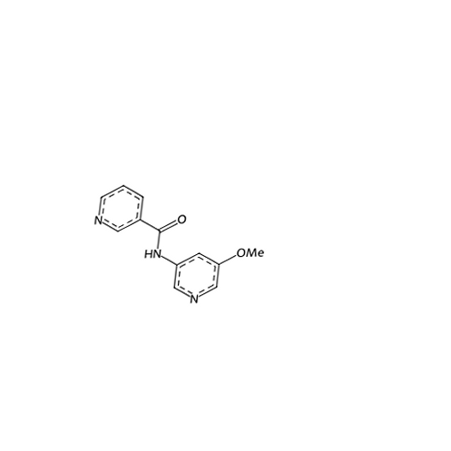 COc1cncc(NC(=O)c2cccnc2)c1